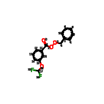 O=C(OOCc1ccccc1)c1cccc(OC(F)F)c1